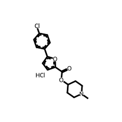 CN1CCC(OC(=O)c2ccc(-c3ccc(Cl)cc3)o2)CC1.Cl